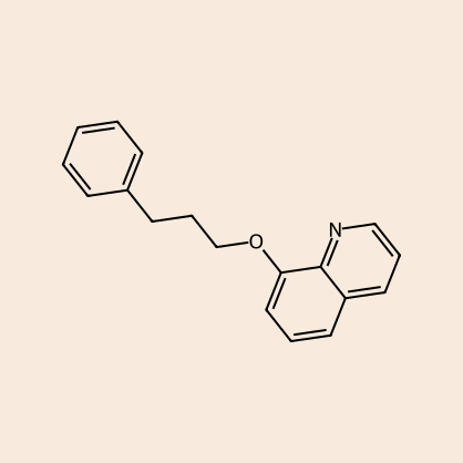 c1ccc(CCCOc2cccc3cccnc23)cc1